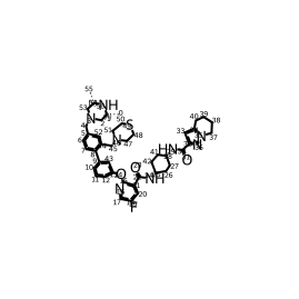 C[C@@H]1CN(Cc2ccc(-c3cccc(Oc4ncc(F)cc4C(=O)N[C@H]4CC[C@@H](NC(=O)c5cc6n(n5)CCCC6)CC4)c3)c(CN3CCSCC3)c2)C[C@H](C)N1